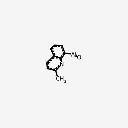 Cc1ccc2ccc[c]([Al]=[O])c2n1